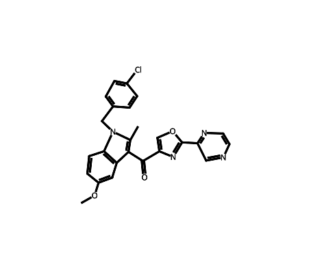 COc1ccc2c(c1)c(C(=O)c1coc(-c3cnccn3)n1)c(C)n2Cc1ccc(Cl)cc1